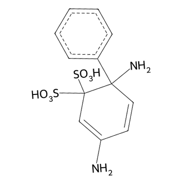 NC1=CC(S(=O)(=O)O)(S(=O)(=O)O)C(N)(c2ccccc2)C=C1